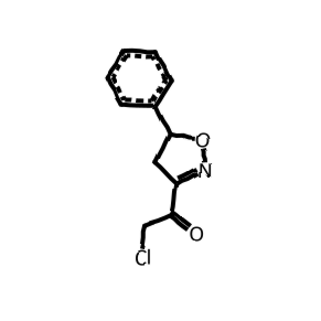 O=C(CCl)C1=NOC(c2ccccc2)C1